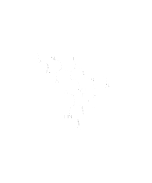 COc1ncc(-c2cc(NC(=O)c3c[nH]c(=O)cc3C(F)(F)F)c(N3CCN(C)CC3)cc2F)c(OC)n1